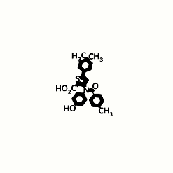 CC1(C)CCC(c2cc(N(C(=O)[C@H]3CC[C@H](C)CC3)[C@H]3CC[C@H](O)CC3)c(C(=O)O)s2)CC1